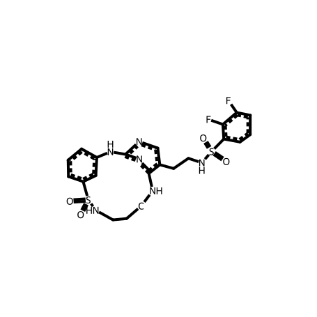 O=S1(=O)NCCCNc2nc(ncc2CCNS(=O)(=O)c2cccc(F)c2F)Nc2cccc1c2